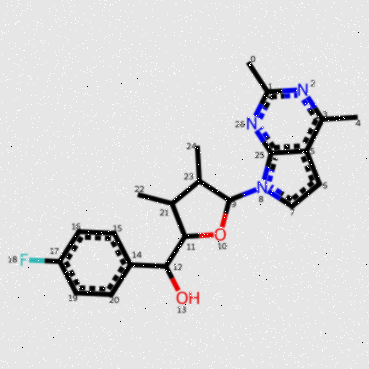 Cc1nc(C)c2ccn(C3OC(C(O)c4ccc(F)cc4)C(C)C3C)c2n1